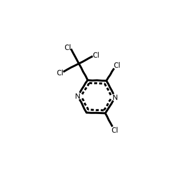 Clc1cnc(C(Cl)(Cl)Cl)c(Cl)n1